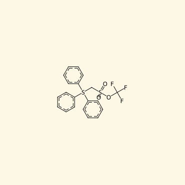 O=S(=O)(CS(c1ccccc1)(c1ccccc1)c1ccccc1)OC(F)(F)F